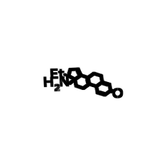 CC[C@@]1(N)CC=C2C3=C(CCC21C)C1C=CC(=O)C=C1CC3